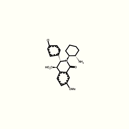 COc1ccc2c(c1)C(=O)N([C@H]1CCCC[C@@H]1N)[C@@H](c1ccc(Cl)cc1)[C@@H]2C(=O)O